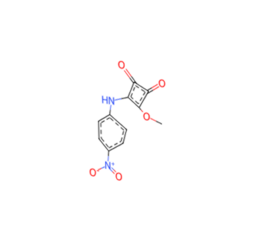 COc1c(Nc2ccc([N+](=O)[O-])cc2)c(=O)c1=O